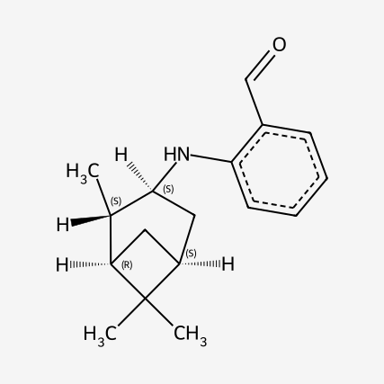 C[C@@H]1[C@@H](Nc2ccccc2C=O)C[C@@H]2C[C@H]1C2(C)C